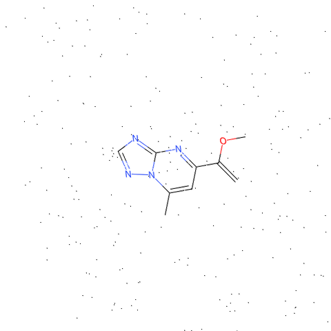 C=C(OC)c1cc(C)n2ncnc2n1